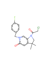 CC1(C)CN(C(=O)CCl)c2cn(Cc3ccc(F)cc3)c(=O)cc21